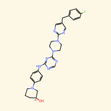 O[C@H]1CCCN(c2ccc(Nc3ncnc(N4CCN(c5ncc(Cc6ccc(F)cc6)cn5)CC4)n3)cc2)C1